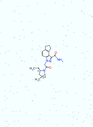 CC[C@@H]1C[C@@]2(C)CC2N1C(=O)Cn1nc(C(N)=O)c2c3c(ccc21)CCC3